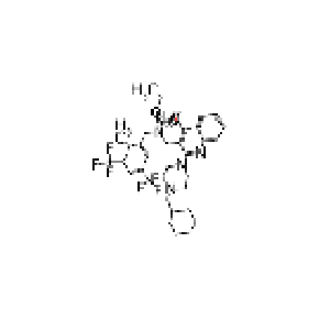 CCOC(=O)N(CC1=CC(C(F)(F)F)=CC(C(F)(F)F)C1C)Cc1c(N2CCN(CC3CCCCC3)CC2)nc2ccccc2c1C